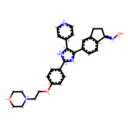 ON=C1CCc2cc(-c3nc(-c4ccc(OCCN5CCOCC5)cc4)[nH]c3-c3ccncc3)ccc21